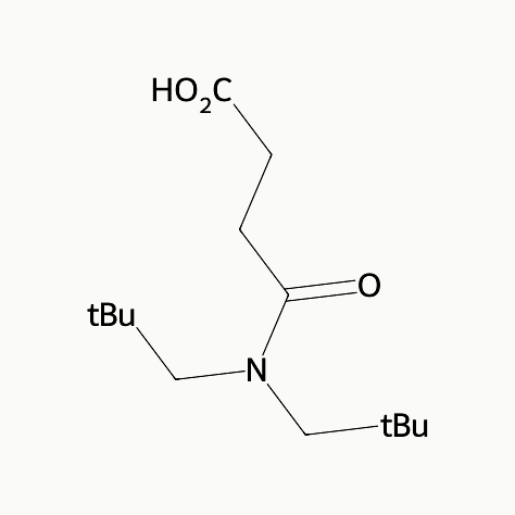 CC(C)(C)CN(CC(C)(C)C)C(=O)CCC(=O)O